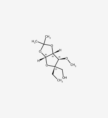 CC[C@@]1(CO)O[C@@H]2OC(C)(C)O[C@@H]2[C@H]1OC